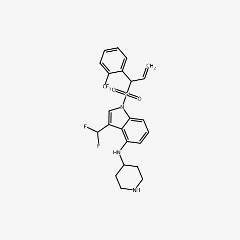 C=CC(c1ccccc1C(F)(F)F)S(=O)(=O)n1cc(C(F)F)c2c(NC3CCNCC3)cccc21